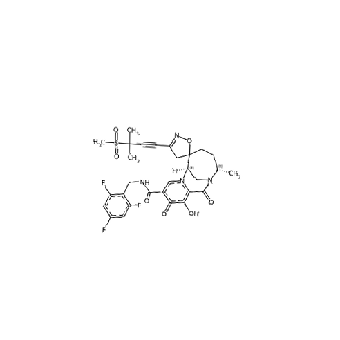 C[C@H]1CCC2(CC(C#CC(C)(C)S(C)(=O)=O)=NO2)[C@H]2CN1C(=O)c1c(O)c(=O)c(C(=O)NCc3c(F)cc(F)cc3F)cn12